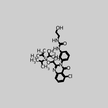 CC(O[Si](C(C)C)(C(C)C)C(C)C)c1nc2cccc(Cl)c2c(=O)n1-c1cccc(NC(=O)NCCO)c1